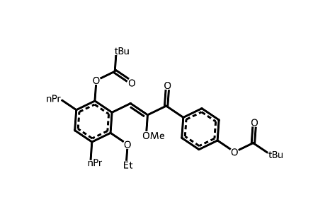 CCCc1cc(CCC)c(OC(=O)C(C)(C)C)c(C=C(OC)C(=O)c2ccc(OC(=O)C(C)(C)C)cc2)c1OCC